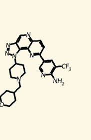 Nc1ncc(-c2ccc3ncc4nnn(C5CCN(CC6CCOCC6)CC5)c4c3n2)cc1C(F)(F)F